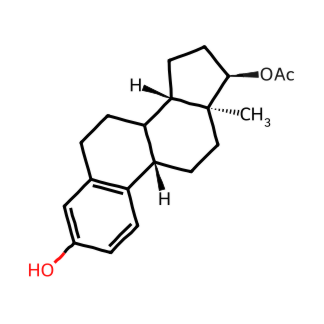 CC(=O)O[C@@H]1CC[C@H]2C3CCc4cc(O)ccc4[C@H]3CC[C@]12C